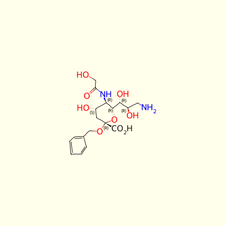 NC[C@@H](O)[C@@H](O)[C@@H]1O[C@@](OCc2ccccc2)(C(=O)O)C[C@H](O)[C@H]1NC(=O)CO